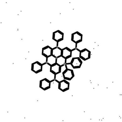 c1ccc(B2c3cccc4c3N3c5c2cc(N(c2ccccc2)c2ccccc2)cc5[Si](c2ccccc2)(c2ccccc2)c2cc(N(c5ccccc5)c5ccccc5)cc(c23)B4c2ccccc2)cc1